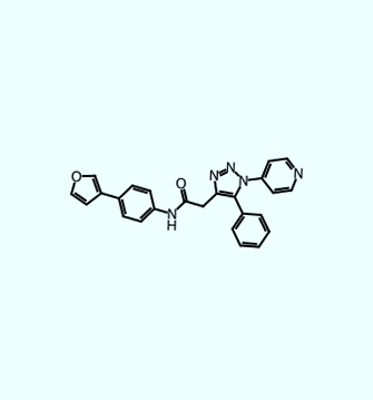 O=C(Cc1nnn(-c2ccncc2)c1-c1ccccc1)Nc1ccc(-c2ccoc2)cc1